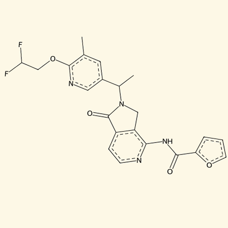 Cc1cc(C(C)N2Cc3c(ccnc3NC(=O)c3ccco3)C2=O)cnc1OCC(F)F